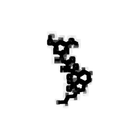 CCCCN1Cc2cccc(S(=O)(=O)NC(=O)Nc3nc(OC)cc(OC)n3)c2S1(=O)=O